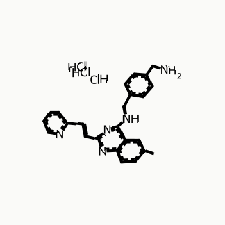 Cc1ccc2nc(/C=C/c3ccccn3)nc(NCc3ccc(CN)cc3)c2c1.Cl.Cl.Cl